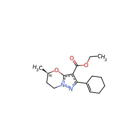 CCOC(=O)c1c(C2=CCCCC2)nn2c1O[C@H](C)CC2